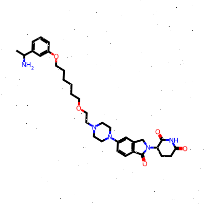 CC(N)c1cccc(OCCCCCCOCCN2CCN(c3ccc4c(c3)CN(C3CCC(=O)NC3=O)C4=O)CC2)c1